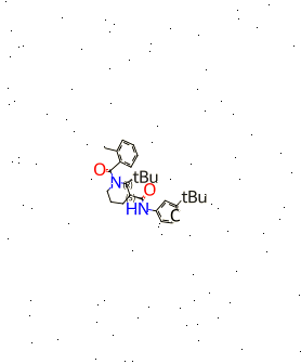 Cc1ccccc1C(=O)N1CCC[C@H](C(=O)Nc2cccc(C(C)(C)C)c2)[C@@H]1C(C)(C)C